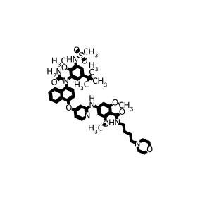 COc1cc(Nc2cc(Oc3ccc(N(C(N)=O)c4cc(C(C)(C)C)cc(NS(C)(=O)=O)c4OC)c4ccccc34)ccn2)cc(OC)c1C(=O)NCCCCN1CCOCC1